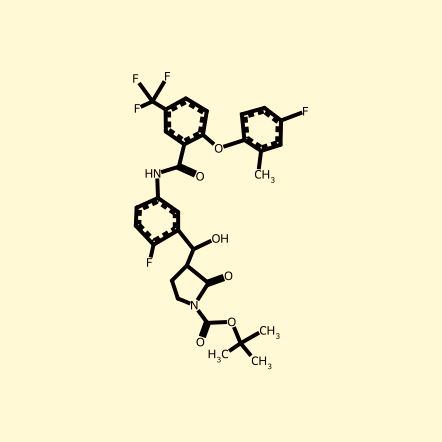 Cc1cc(F)ccc1Oc1ccc(C(F)(F)F)cc1C(=O)Nc1ccc(F)c(C(O)C2CCN(C(=O)OC(C)(C)C)C2=O)c1